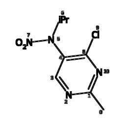 Cc1ncc(N(C(C)C)[N+](=O)[O-])c(Cl)n1